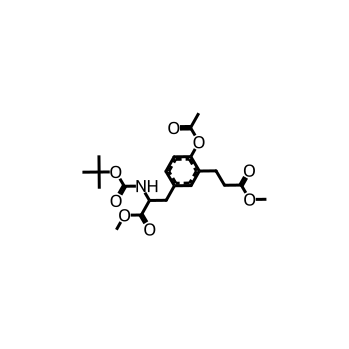 COC(=O)CCc1cc(CC(NC(=O)OC(C)(C)C)C(=O)OC)ccc1OC(C)=O